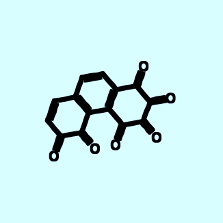 O=C1C=Cc2ccc3c(=O)c(=O)c(=O)c(=O)c3c2C1=O